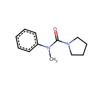 CN(C(=O)N1CCCC1)c1ccccc1